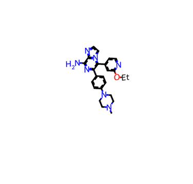 CCOc1cc(-c2c(-c3ccc(N4CCN(C)CC4)cc3)nc(N)c3nccn23)ccn1